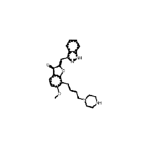 COc1ccc2c(c1CCCCN1CCNCC1)O/C(=C\c1n[nH]c3ccccc13)C2=O